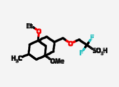 CCOC12CC(C)CC(OC)(CC(COCC(F)(F)S(=O)(=O)O)C1)C2